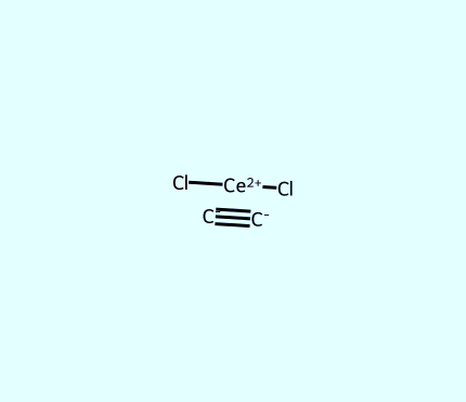 [C-]#[C-].[Cl][Ce+2][Cl]